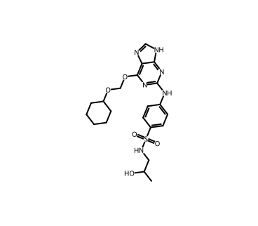 CC(O)CNS(=O)(=O)c1ccc(Nc2nc(OCOC3CCCCC3)c3nc[nH]c3n2)cc1